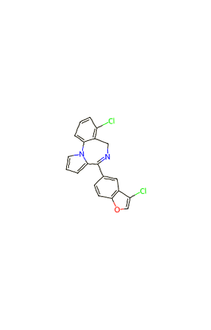 Clc1cccc2c1CN=C(c1ccc3occ(Cl)c3c1)c1cccn1-2